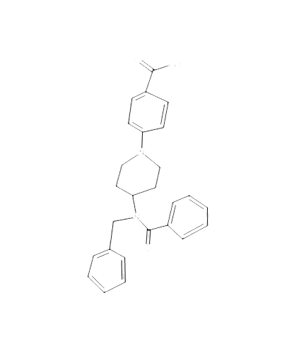 O=C(O)c1ccc(N2CCC(N(Cc3ccccc3)C(=O)c3ccccc3)CC2)cc1